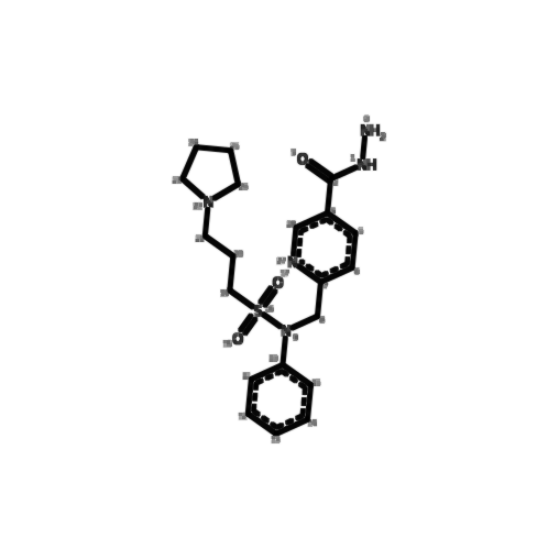 NNC(=O)c1ccc(CN(c2ccccc2)S(=O)(=O)CCCN2CCCC2)nc1